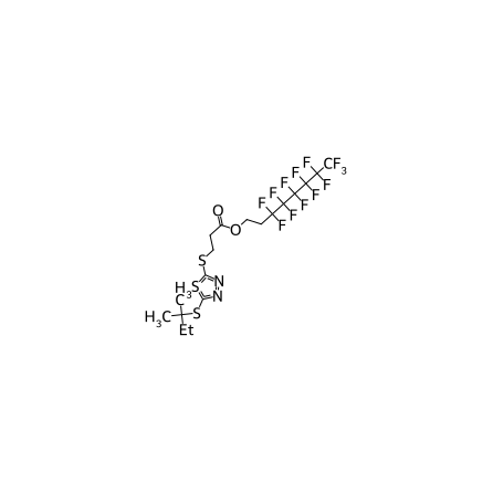 CCC(C)(C)Sc1nnc(SCCC(=O)OCCC(F)(F)C(F)(F)C(F)(F)C(F)(F)C(F)(F)C(F)(F)F)s1